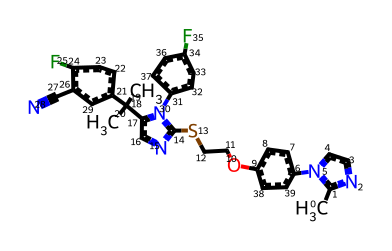 Cc1nccn1-c1ccc(OCCSc2ncc(C(C)(C)c3ccc(F)c(C#N)c3)n2-c2ccc(F)cc2)cc1